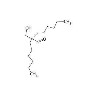 CCCCCCC(C=O)(CO)CCCCCC